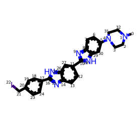 CN1CCN(c2ccc3nc(-c4ccc5nc(-c6ccc(CI)cc6)[nH]c5c4)[nH]c3c2)CC1